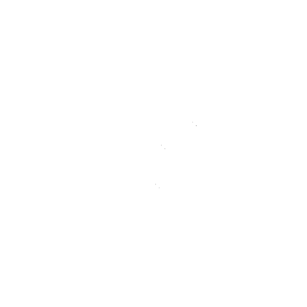 COc1ccc(S(=O)(=O)n2c(C(=O)NO)cc3c2CN(C(C)=O)CC3)cc1